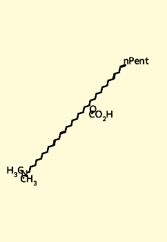 CCCCCC=CCC=CCCCCCCCC(CCCCCCCC=CCC=CCCCCCCCCN(C)C)OC(=O)O